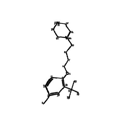 Cc1ccc(OCCCCN2CCNCC2)c(C(C)(C)C)c1